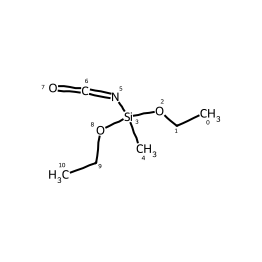 CCO[Si](C)(N=C=O)OCC